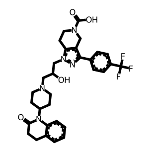 O=C(O)N1CCc2c(c(-c3ccc(C(F)(F)F)cc3)nn2CC(O)CN2CCC(N3C(=O)CCc4ccccc43)CC2)C1